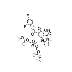 CC(C)OC(=O)OCOP(=O)(CCN1n2cc(C(=O)NCc3ccc(F)cc3F)c(=O)c(O)c2C(=O)N(C)C12CCCC2)OCOC(=O)OC(C)C